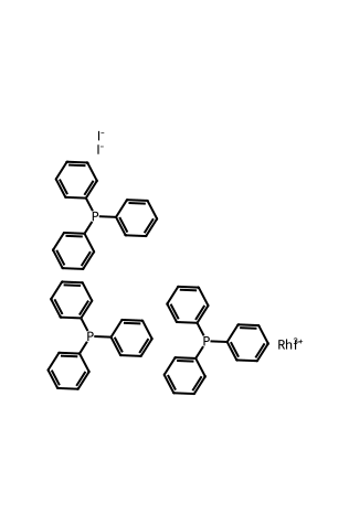 [I-].[I-].[I-].[Rh+3].c1ccc(P(c2ccccc2)c2ccccc2)cc1.c1ccc(P(c2ccccc2)c2ccccc2)cc1.c1ccc(P(c2ccccc2)c2ccccc2)cc1